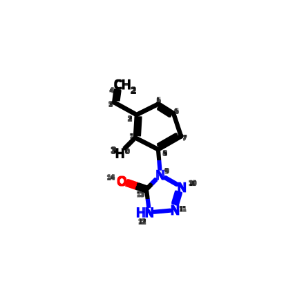 [3H]c1c(C=C)cccc1-n1nn[nH]c1=O